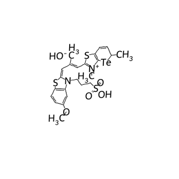 COc1ccc2c(c1)N(CCCS(=O)(=O)O)C(=CC(C)=Cc1sc3c([n+]1C)[Te]C(C)C=C3)S2.[OH-]